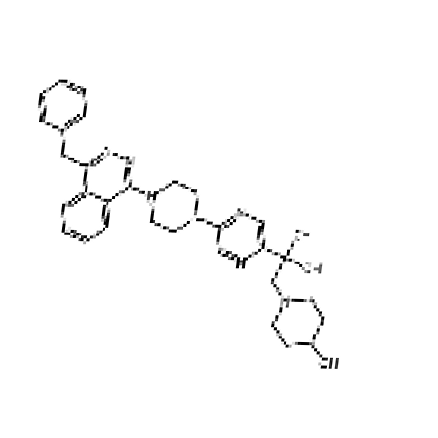 CC(O)(CN1CCC(O)CC1)c1cnc(N2CCN(c3nnc(Cc4ccccc4)c4ccccc34)CC2)cn1